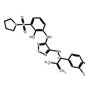 C=C(C)[C@@H](Nc1nsnc1Nc1cccc(S(=O)(=O)N2CCCC2)c1O)c1ccc2c(c1)OCO2